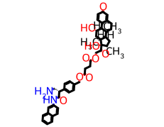 C[C@@H]1C[C@H]2[C@@H]3CCC4=CC(=O)C=C[C@]4(C)[C@H]3[C@@H](O)C[C@]2(C)[C@@]1(O)C(=O)COC(=O)CCC(=O)OCc1ccc([C@@H](CN)C(=O)Nc2ccc3ccccc3c2)cc1